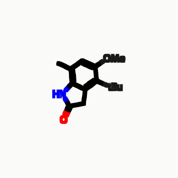 COc1cc(C)c2c(c1C(C)(C)C)CC(=O)N2